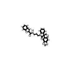 O=C(NCCCN1C(=O)C2(COc3cc4c(cc32)OCO4)c2ccccc21)C1Cc2ccccc2O1